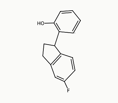 Oc1ccc[c]c1C1CCc2cc(F)ccc21